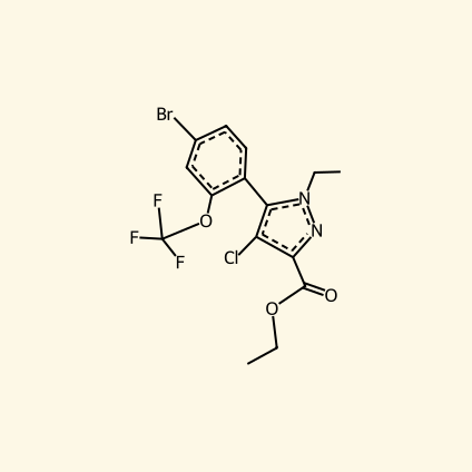 CCOC(=O)c1nn(CC)c(-c2ccc(Br)cc2OC(F)(F)F)c1Cl